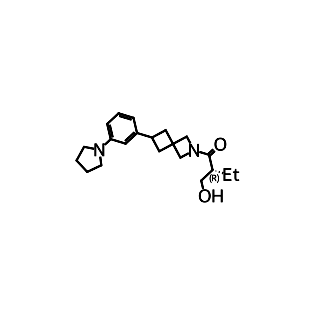 CC[C@H](CO)C(=O)N1CC2(CC(c3cccc(N4CCCC4)c3)C2)C1